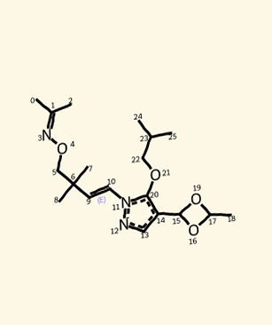 CC(C)=NOCC(C)(C)/C=C/n1ncc(C2OC(C)O2)c1OCC(C)C